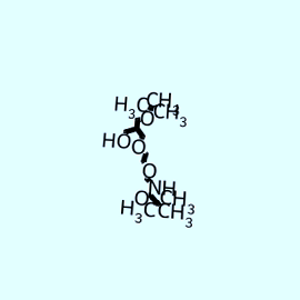 CC(C)(C)OCC(CO)COCCOCNC(=O)C(C)(C)C